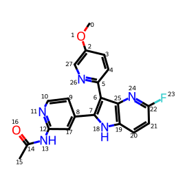 COc1ccc(-c2c(-c3ccnc(NC(C)=O)c3)[nH]c3ccc(F)nc23)nc1